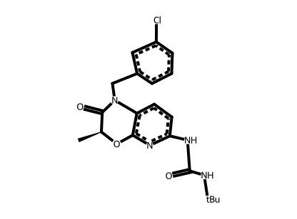 C[C@@H]1Oc2nc(NC(=O)NC(C)(C)C)ccc2N(Cc2cccc(Cl)c2)C1=O